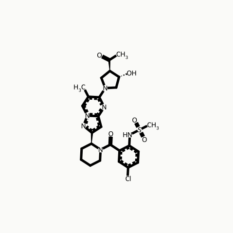 CC(=O)[C@@H]1CN(c2nc3cc([C@@H]4CCCCN4C(=O)c4cc(Cl)ccc4NS(C)(=O)=O)nn3cc2C)C[C@H]1O